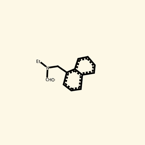 CCN([C]=O)Cc1cccc2ccccc12